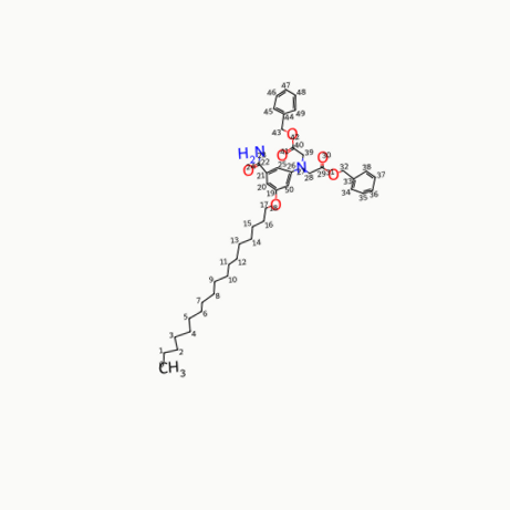 CCCCCCCCCCCCCCCCCCOc1cc(C(N)=O)cc(N(CC(=O)OCc2ccccc2)CC(=O)OCc2ccccc2)c1